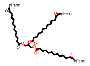 CCCCCC1OC1CC=CCCCCCCCC(=O)OCC(COC(=O)CCCCCCCC=CCC1OC1CCCCC)OC(=O)CCCCCCCC=CCC1OC1CCCCC